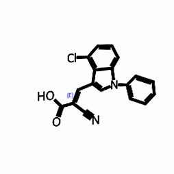 N#C/C(=C\c1cn(-c2ccccc2)c2cccc(Cl)c12)C(=O)O